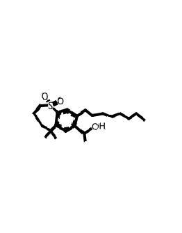 CCCCCCCCc1cc2c(cc1C(C)O)C(C)(C)CCCS2(=O)=O